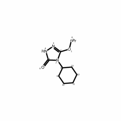 CCCOc1n[nH]c(=O)n1C1CCCCC1